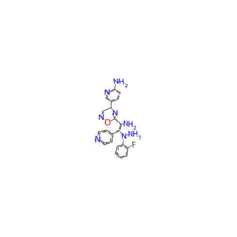 N/C(C1=NC(c2ccc(N)nc2)C=NO1)=C(/c1ccncc1)N(N)c1ccccc1F